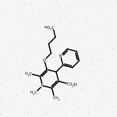 CCOC(=O)C1=C(C)N(C)C(C)=C(OCCCC(=O)O)C1c1ccccn1